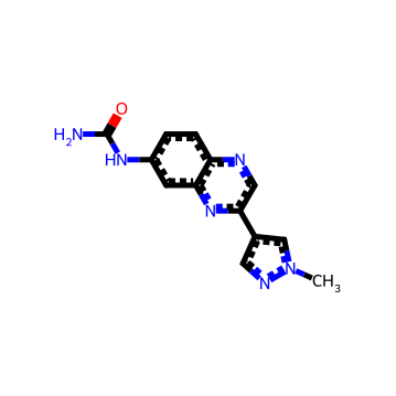 Cn1cc(-c2cnc3ccc(NC(N)=O)cc3n2)cn1